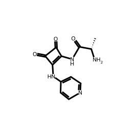 C[C@H](N)C(=O)Nc1c(Nc2ccncc2)c(=O)c1=O